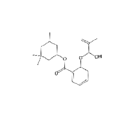 C=C(C)C(O)OC1CC=CC=C1C(=O)OC1CC(C)CC(C)(C)C1